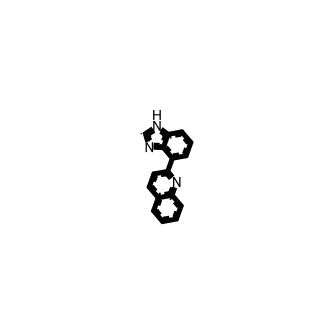 [c]1nc2c(-c3ccc4ccccc4n3)cccc2[nH]1